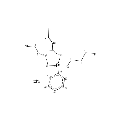 CCCCC[P+](CCCCC)(CCCCC)c1ccccc1.[Cl-]